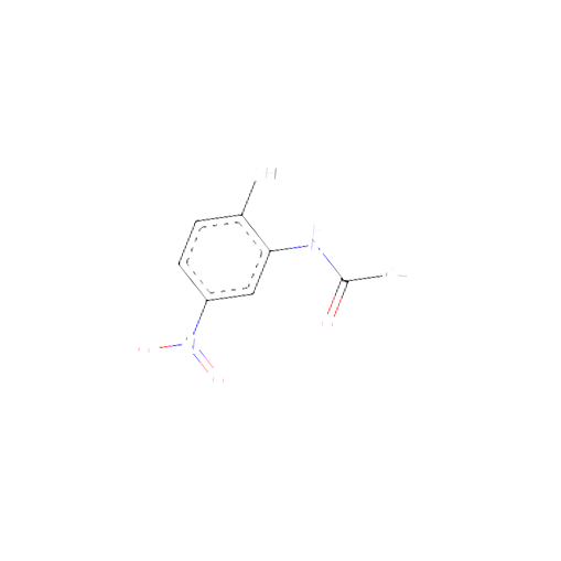 CC(=O)Nc1cc([N+](=O)[O-])ccc1C